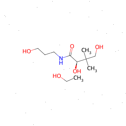 CC(C)(CO)[C@@H](O)C(=O)NCCCO.CCO